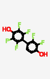 Oc1ccc(-c2c(F)c(F)c(O)c(F)c2F)c(F)c1F